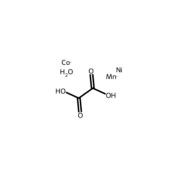 O.O=C(O)C(=O)O.[Co].[Mn].[Ni]